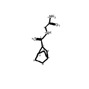 NC(=O)CNC(=O)C1CC2CCC1C2